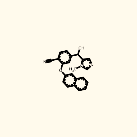 Cn1cncc1C(O)c1ccc(C#N)c(Oc2ccc3ccccc3c2)c1